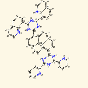 c1ccc(-c2nc(-c3ccccn3)nc(-c3ccc4ccc5c(-c6nc(-c7cccc8cccnc78)nc(-c7cccc8cccnc78)n6)ccc6ccc3c4c65)n2)nc1